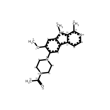 COc1cc2c(cc1N1CCN(C(C)=O)CC1)c1ccnc(C)c1n2C